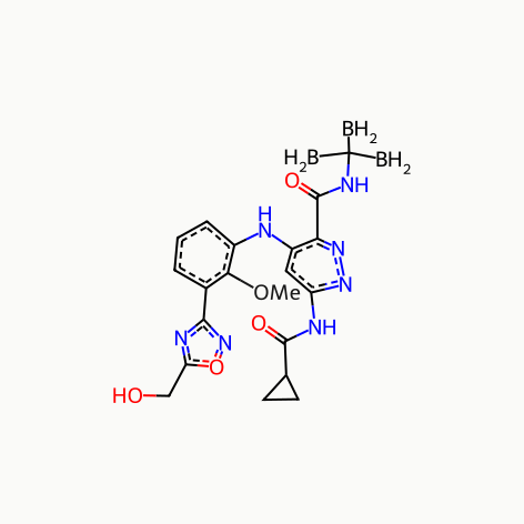 BC(B)(B)NC(=O)c1nnc(NC(=O)C2CC2)cc1Nc1cccc(-c2noc(CO)n2)c1OC